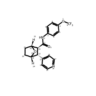 O=C(Nc1ccc(OC(F)(F)F)cc1)[C@H]1[C@H](c2ccncc2)[C@@H]2CC[C@H]1O2